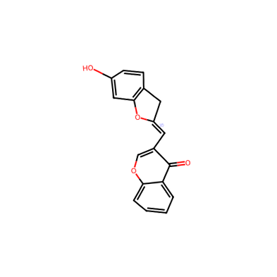 O=c1c(/C=C2/Cc3ccc(O)cc3O2)coc2ccccc12